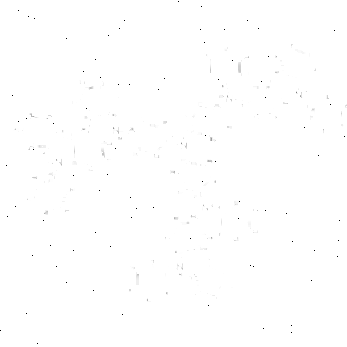 c1ccc(-n2c3ccccc3c3c4c5ccccc5n(-c5ccc(N(c6ccc(-n7c8ccccc8c8c9c%10ccccc%10n(-c%10ccccc%10)c9ccc87)cc6)c6ccc(-n7c8ccccc8c8c9c%10ccccc%10n(-c%10ccccc%10)c9ccc87)cc6)cc5)c4ccc32)cc1